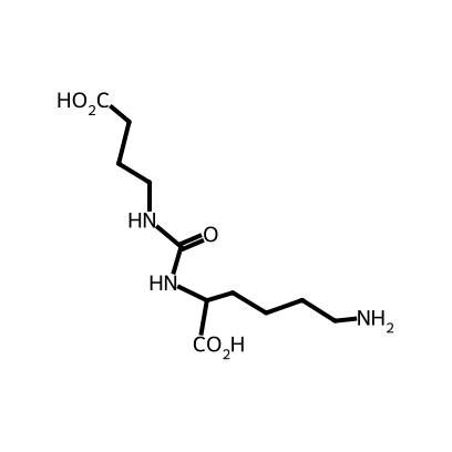 NCCCCC(NC(=O)NCCCC(=O)O)C(=O)O